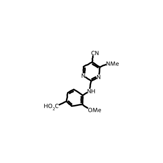 CNc1nc(Nc2ccc(C(=O)O)cc2OC)ncc1C#N